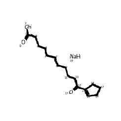 O=C(O)CCCCCCCCCC(=O)C1=CCCC1.[NaH]